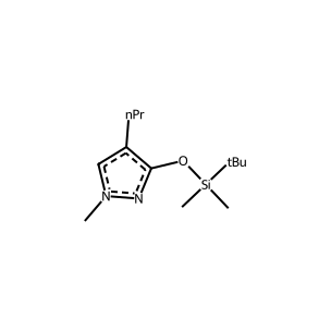 CCCc1cn(C)nc1O[Si](C)(C)C(C)(C)C